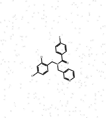 O=C(c1ccc(F)cc1)N(Cc1cccnc1)Cc1ccc(Cl)cc1Cl